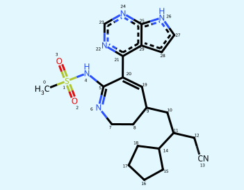 CS(=O)(=O)NC1=NCCC(CC(CC#N)C2CCCC2)C=C1c1ncnc2[nH]ccc12